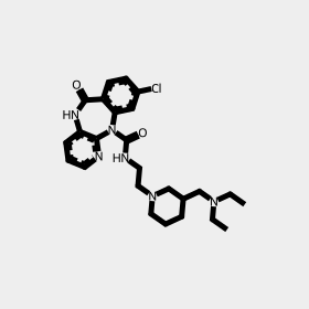 CCN(CC)CC1CCCN(CCNC(=O)N2c3cc(Cl)ccc3C(=O)Nc3cccnc32)C1